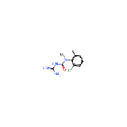 CCN(C(=O)NC(=N)N)c1c(C)cccc1Cl